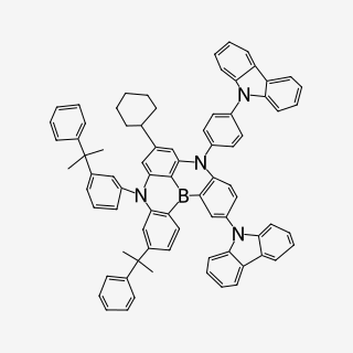 CC(C)(c1ccccc1)c1cccc(N2c3cc(C(C)(C)c4ccccc4)ccc3B3c4cc(-n5c6ccccc6c6ccccc65)ccc4N(c4ccc(-n5c6ccccc6c6ccccc65)cc4)c4cc(C5CCCCC5)cc2c43)c1